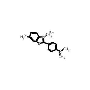 Cc1ccc2c(c1)sc(-c1ccc(N(C)C)cc1)[n+]2C.[Br-]